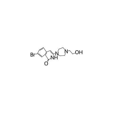 O=c1[nH]c(N2CCN(CCO)CC2)cc2ccc(Br)cc12